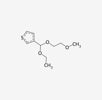 CCOC(OCCOC)c1ccsc1